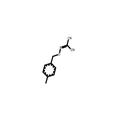 Cc1ccc(CON=C(C#N)C#N)cc1